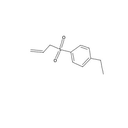 C=CCS(=O)(=O)c1ccc(CC)cc1